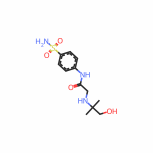 CC(C)(CO)NCC(=O)Nc1ccc(S(N)(=O)=O)cc1